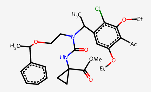 CCOc1cc(C(C)N(CCOC(C)c2ccccc2)C(=O)NC2(C(=O)OC)CC2)c(Cl)c(OCC)c1C(C)=O